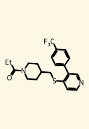 CCC(=O)N1CCC(CSc2ccncc2-c2ccc(C(F)(F)F)cc2)CC1